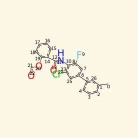 Cc1cccc(-c2cc(F)c(NC(=O)c3ccccc3OC=O)c(Cl)c2)c1